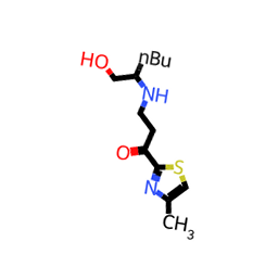 CCCCC(CO)NCCC(=O)c1nc(C)cs1